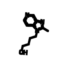 Cc1nc2cnccc2n1CCCCO